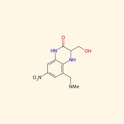 CNCc1cc([N+](=O)[O-])cc2c1NC(CO)C(=O)N2